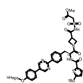 CCCCCCCOc1ccc(-c2cnc(-c3ccc(C[C@H](NC(=O)c4ccc(C(C)(C)C)s4)C(=O)N4CC(C(=O)NS(=O)(=O)CC(=O)OC)C4)cc3)nc2)cc1